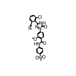 COc1cc(-n2nc(-c3c(Cl)cccc3C#N)[nH]c2=O)ccc1C(=O)Nc1ccc(S(C)(=O)=O)cc1